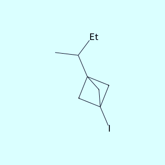 CCC(C)C12CC(I)(C1)C2